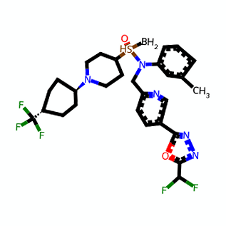 B[SH](=O)(C1CCN([C@H]2CC[C@H](C(F)(F)F)CC2)CC1)N(Cc1ccc(-c2nnc(C(F)F)o2)cn1)c1cccc(C)c1